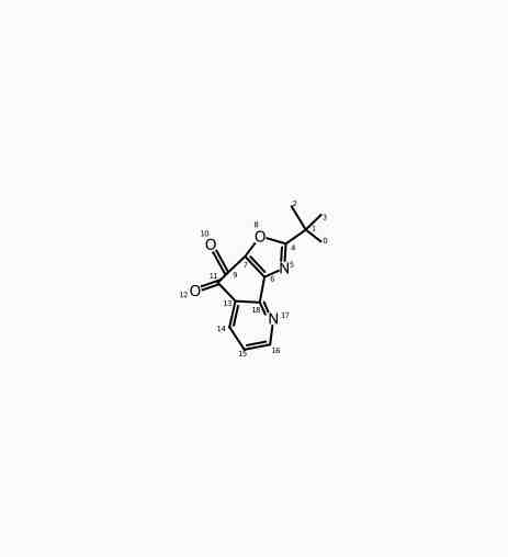 CC(C)(C)c1nc2c(o1)C(=O)C(=O)c1cccnc1-2